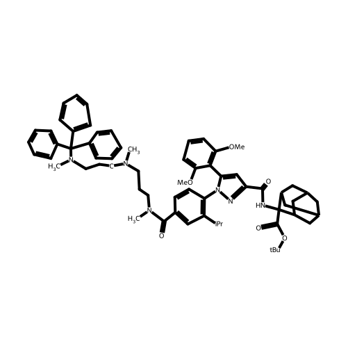 COc1cccc(OC)c1-c1cc(C(=O)NC2(C(=O)OC(C)(C)C)C3CC4CC(C3)CC2C4)nn1-c1ccc(C(=O)N(C)CCCN(C)CCCN(C)C(c2ccccc2)(c2ccccc2)c2ccccc2)cc1C(C)C